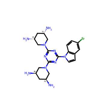 N[C@@H]1C[C@H](N)CN(c2nc(N3C[C@H](N)C[C@H](N)C3)nc(-n3ccc4cc(Br)ccc43)n2)C1